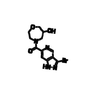 O=C(c1cc2[nH]nc(Br)c2cn1)N1CCOCC(O)C1